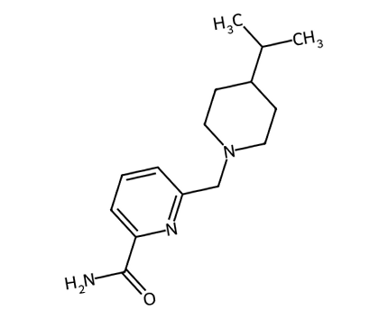 CC(C)C1CCN(Cc2cccc(C(N)=O)n2)CC1